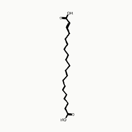 O=C(O)/C=C/CCCCCCCCCCCCCCCCC(=O)O